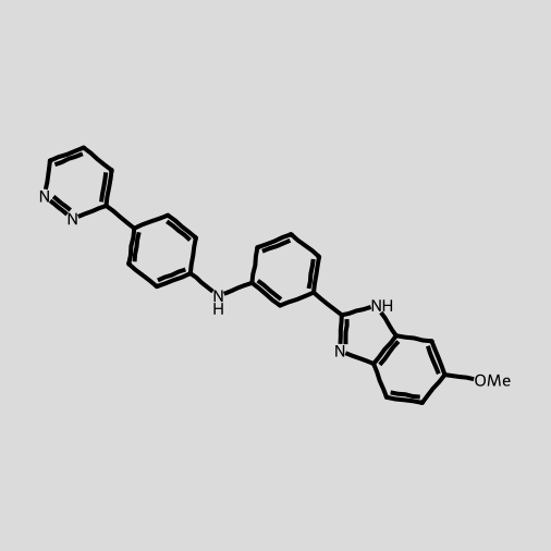 COc1ccc2nc(-c3cccc(Nc4ccc(-c5cccnn5)cc4)c3)[nH]c2c1